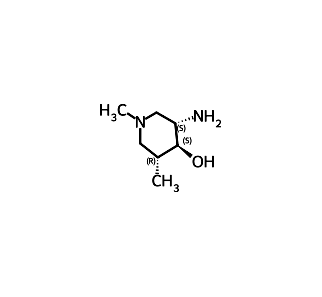 C[C@@H]1CN(C)C[C@H](N)[C@H]1O